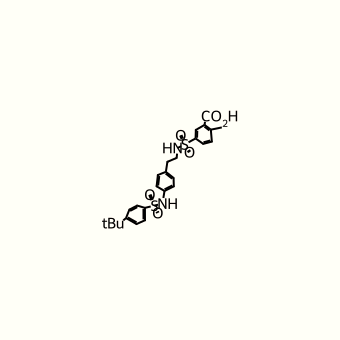 Cc1ccc(S(=O)(=O)NCCc2ccc(NS(=O)(=O)c3ccc(C(C)(C)C)cc3)cc2)cc1C(=O)O